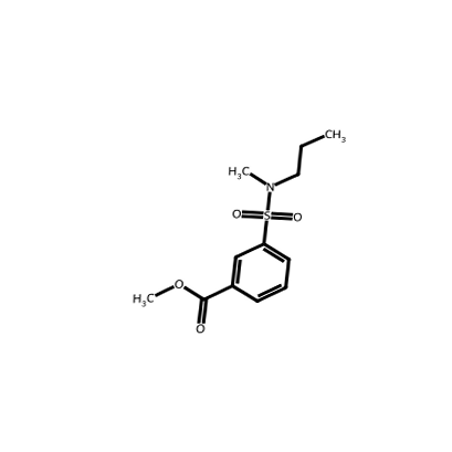 CCCN(C)S(=O)(=O)c1cccc(C(=O)OC)c1